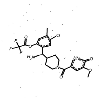 COc1cc(C(=O)N2CCC([C@@H](N)c3cc(Cl)c(C)cc3OC(=O)C(F)(F)F)CC2)c[nH]c1=O